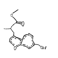 COC(=O)C(C)c1coc2cc(O)ccc12